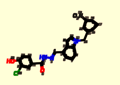 O=C(N/N=C/c1cccc2c1ccn2Cc1cccc([N+](=O)[O-])c1)c1ccc(O)c(Cl)c1